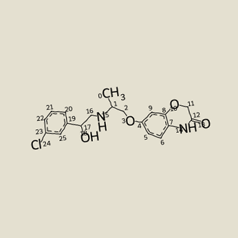 CC(COc1ccc2c(c1)OCC(=O)N2)NCC(O)c1cccc(Cl)c1